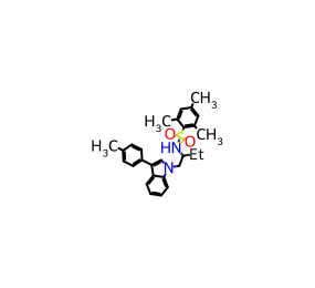 CCC(Cn1cc(-c2ccc(C)cc2)c2ccccc21)NS(=O)(=O)c1c(C)cc(C)cc1C